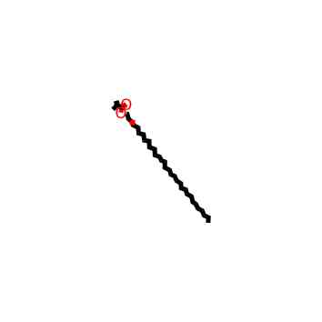 C=C(C)C(=O)OCCCCCCCCCCCCCCCCCCCCCCCCCCCCCCCC